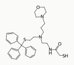 O=C(CS)NCCN(CCCN1CCOCC1)CCSC(c1ccccc1)(c1ccccc1)c1ccccc1